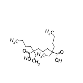 CCCCC(CC)(CCCC(CC)(CCCC)C(=O)O)C(=O)O